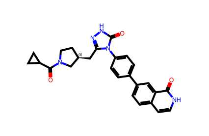 O=C(C1CC1)N1CC[C@@H](Cc2n[nH]c(=O)n2-c2ccc(-c3ccc4cc[nH]c(=O)c4c3)cc2)C1